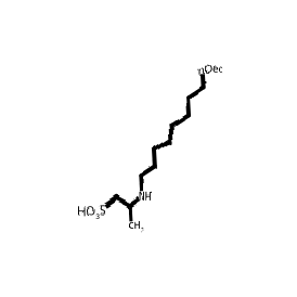 CCCCCCCCCCCCCCCCCCNC(C)CS(=O)(=O)O